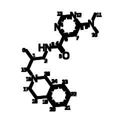 CC(CNC(=O)c1cc(N(C)C)ncn1)CN1CCc2ccccc2C1